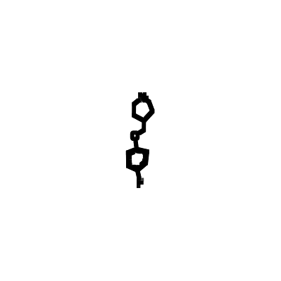 Fc1ccc(OCC2CC[N]CC2)cc1